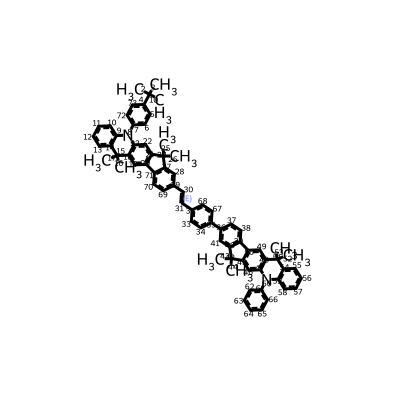 CC(C)(C)c1ccc(N2c3ccccc3C(C)(C)c3cc4c(cc32)C(C)(C)c2cc(/C=C/c3ccc(-c5ccc6c(c5)C(C)(C)c5cc7c(cc5-6)C(C)(C)c5ccccc5N7c5ccccc5)cc3)ccc2-4)cc1